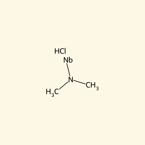 C[N](C)[Nb].Cl